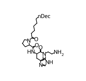 CCCCCCCCCCCCCCCC(=O)N1CCCC1C(=O)NC(Cc1c[nH]cn1)C(=O)NCCN